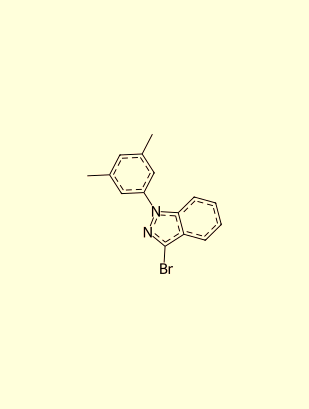 Cc1cc(C)cc(-n2nc(Br)c3ccccc32)c1